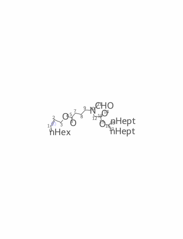 CCCCCC/C=C\COC(=O)CCCN(C=O)CC(=O)OC(CCCCCCC)CCCCCCC